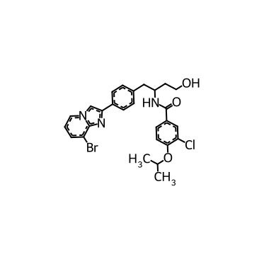 CC(C)Oc1ccc(C(=O)NC(CCO)Cc2ccc(-c3cn4cccc(Br)c4n3)cc2)cc1Cl